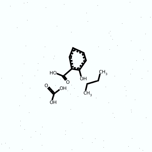 CCCC.O=C(O)O.O=C(O)c1ccccc1O